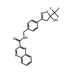 O=C(NCc1ccc(C2=NOC(O)(C(F)(F)F)C2)cc1)c1cnc2ccccc2n1